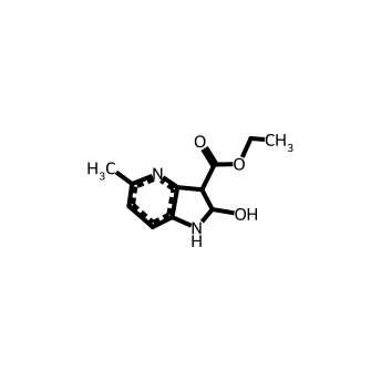 CCOC(=O)C1c2nc(C)ccc2NC1O